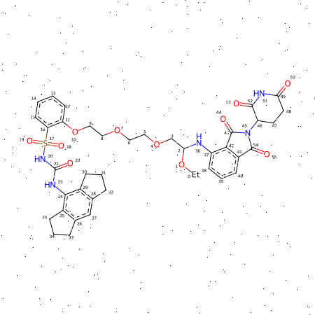 CCOC(COCCOCCOc1ccccc1S(=O)(=O)NC(=O)Nc1c2c(cc3c1CCC3)CCC2)Nc1cccc2c1C(=O)N(C1CCC(=O)NC1=O)C2=O